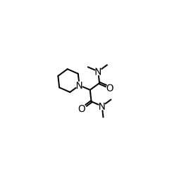 CN(C)C(=O)C(C(=O)N(C)C)N1CCCCC1